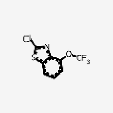 FC(F)(F)Oc1cccc2sc(Cl)nc12